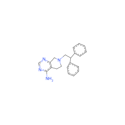 Nc1ncnc2c1CCN(CC(c1ccccc1)c1ccccc1)C2